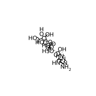 CN[C@]1(C)[C@H](O)[C@@H](COP(=O)(S)OP(=O)(O)OC2OC3(O)C2C(O)C(O)C3[C@@H](F)CO)O[C@H]1c1c[nH]c2c(N)ncnc12